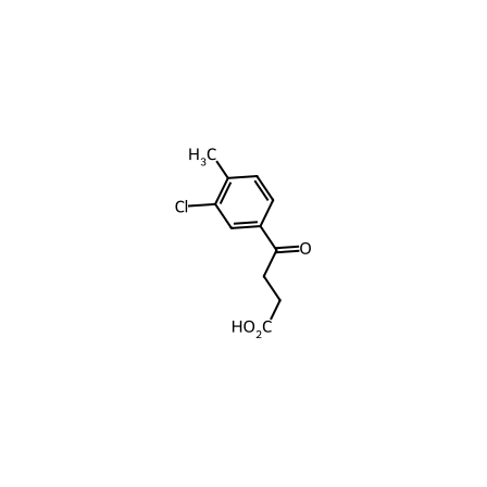 Cc1ccc(C(=O)CCC(=O)O)cc1Cl